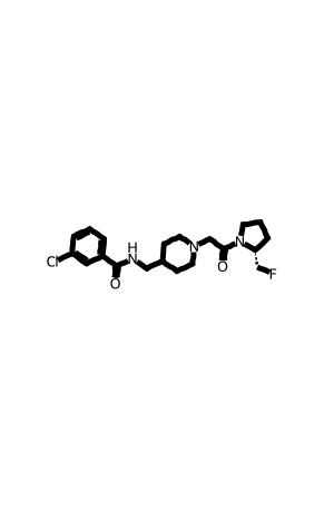 O=C(NCC1CCN(CC(=O)N2CCC[C@@H]2CF)CC1)c1cccc(Cl)c1